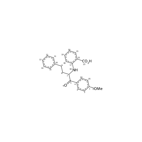 COc1ccc(C(=O)C(CCc2ccccc2)Nc2ccccc2C(=O)O)cc1